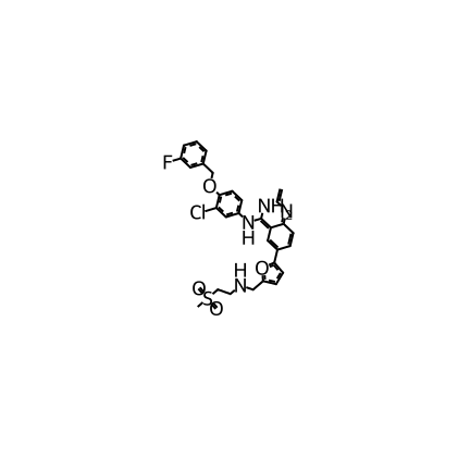 C=C/N=C1/C=CC(c2ccc(CNCCS(C)(=O)=O)o2)=C/C1=C(/N)Nc1ccc(OCc2cccc(F)c2)c(Cl)c1